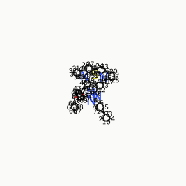 c1ccc(-c2ccc(-c3nc(-c4ccc(-n5c6ccccc6c6ccc7c8ccc9c%10ccccc%10n(-c%10cccc(-c%11ccccc%11)c%10)c9c8sc7c65)cc4)nc(-c4cccc(-c5ccccc5)c4)n3)cc2)cc1